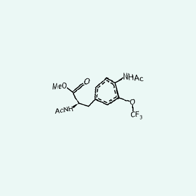 COC(=O)[C@@H](Cc1ccc(NC(C)=O)c(OC(F)(F)F)c1)NC(C)=O